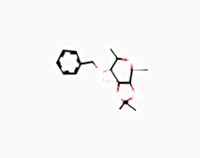 CC1O[C@@H](C)C2OC(C)(C)O[C@H]2[C@H]1OCc1ccccc1